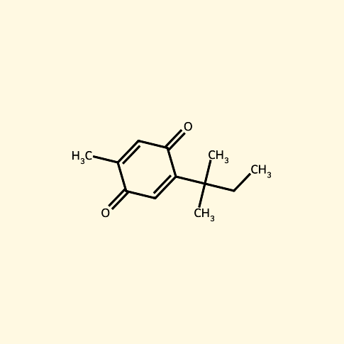 CCC(C)(C)C1=CC(=O)C(C)=CC1=O